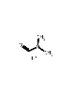 CN(C)C=O.[H+]